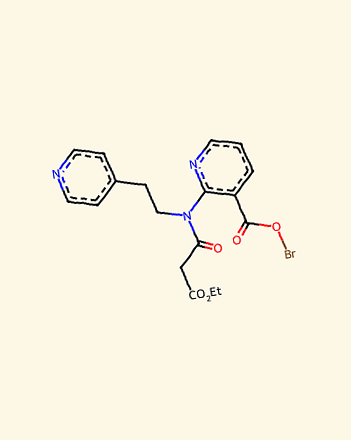 CCOC(=O)CC(=O)N(CCc1ccncc1)c1ncccc1C(=O)OBr